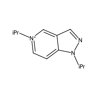 CC(C)n1ncc2c[n+](C(C)C)ccc21